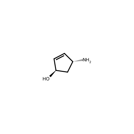 N[C@H]1C=C[C@H](O)C1